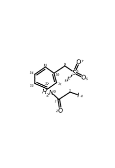 NC(=O)CI.O=S(=O)(F)Cc1ccccc1